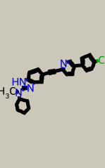 CN(c1nc2cc(C#Cc3ccc(-c4ccc(Cl)cc4)cn3)ccc2[nH]1)C1CCCCC1